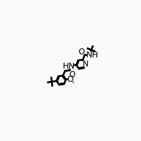 COc1ccc(C(C)(C)C)cc1CC(=O)Nc1ccnc(C(=O)NC(C)(C)C)c1